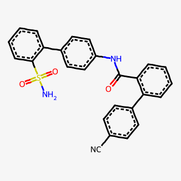 N#Cc1ccc(-c2ccccc2C(=O)Nc2ccc(-c3ccccc3S(N)(=O)=O)cc2)cc1